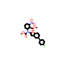 COC(=O)c1c(N(C(=O)OC)c2cc3cc(-c4ccc(F)cc4)ccc3o2)cccc1[N+](=O)[O-]